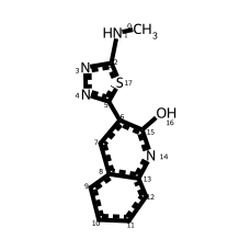 CNc1nnc(-c2cc3ccccc3nc2O)s1